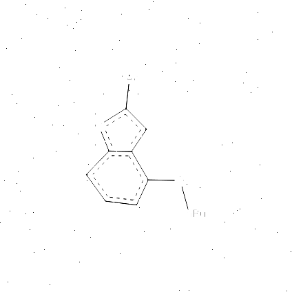 CCCCOc1cccc2oc(C(C)=O)cc12